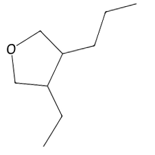 CCCC1COCC1CC